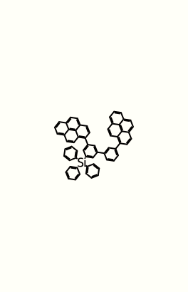 c1ccc([Si](c2ccccc2)(c2ccccc2)c2cc(-c3cccc(-c4ccc5ccc6cccc7ccc4c5c67)c3)cc(-c3ccc4ccc5cccc6ccc3c4c56)c2)cc1